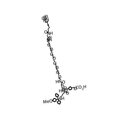 COc1ccc(C(NCCCC[C@H](NC(=O)COCC(=O)NCCOCCOCCOCCOCCOCCOCCOCCOCCn2cc(CNC(=O)CCCC#Cc3cnc(S(C)(=O)=O)nc3)nn2)C(=O)Nc2ccc(COC(=O)O)cc2)(c2ccccc2)c2ccccc2)cc1